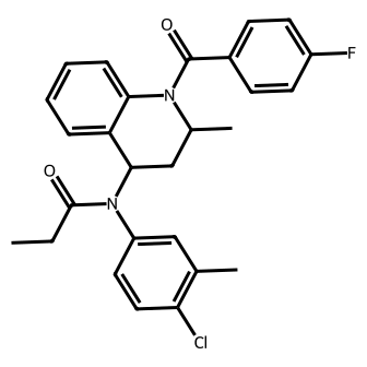 CCC(=O)N(c1ccc(Cl)c(C)c1)C1CC(C)N(C(=O)c2ccc(F)cc2)c2ccccc21